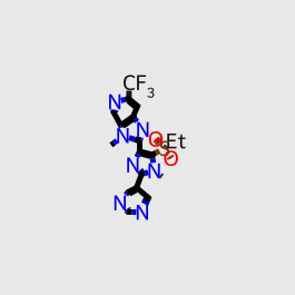 CCS(=O)(=O)c1c(-c2nc3cc(C(F)(F)F)ncc3n2C)nc(-c2cncnc2)n1C